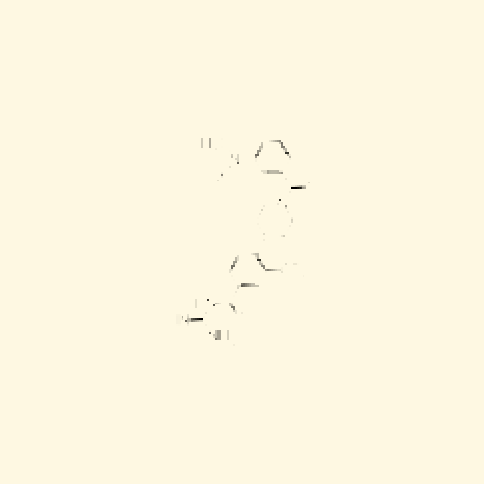 CN(C)c1cccc(C(=O)N2CCC(c3ccc(C(=O)NC(=N)N)cc3C(F)(F)F)CC2)c1